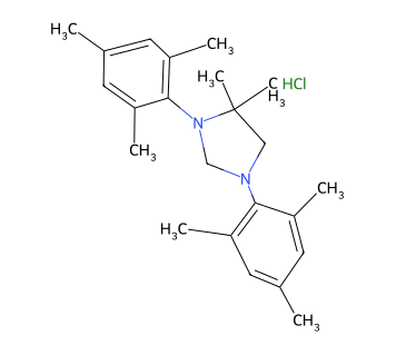 Cc1cc(C)c(N2CN(c3c(C)cc(C)cc3C)C(C)(C)C2)c(C)c1.Cl